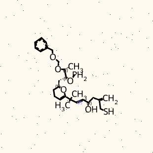 C=C(CS)C[C@@H](O)/C=C/C(C)(C)C1=CCC[C@@H](C[C@@H](OP)[C@@H](C)OCOCc2ccccc2)O1